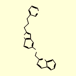 c1cncc(CCCc2cc3cc(OCc4ccc5ccccc5n4)ccc3[nH]2)c1